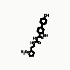 CN1CCCC1CCNC(=O)Nc1n[nH]c2cc(-c3ccc(O)cc3)ccc12